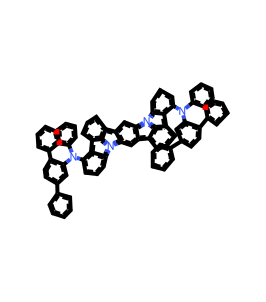 c1ccc(-c2ccc(-c3ccccc3)c(N(c3ccccc3)c3cccc4c3c3cccc5c6cc7c(cc6n4c53)c3cccc4c5c(N(c6ccccc6)c6cc(-c8ccccc8)ccc6-c6ccccc6)cccc5n7c34)c2)cc1